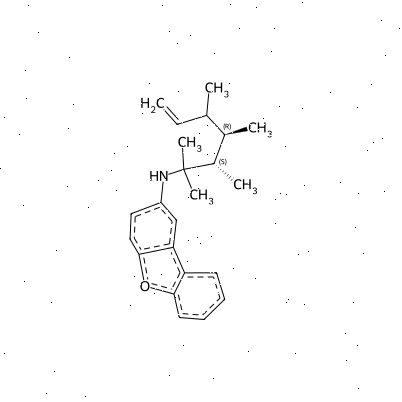 C=CC(C)[C@@H](C)[C@H](C)C(C)(C)Nc1ccc2oc3ccccc3c2c1